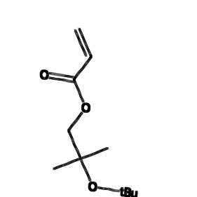 C=CC(=O)OCC(C)(C)OC(C)(C)C